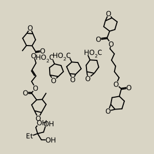 CC1CC2OC2CC1C(=O)OCC=CCOC(=O)C1CC2OC2CC1C.CCC(CO)(CO)CO.O=C(O)C1CCC2OC2C1.O=C(O)C1CCC2OC2C1.O=C(O)C1CCC2OC2C1.O=C(OCCCCCCOC(=O)C1CCC2OC2C1)C1CCC2OC2C1